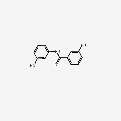 Nc1cccc(C(=O)Nc2cccc(O)c2)c1